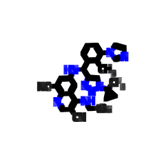 Cc1c([C@H](Nc2cc(C#N)c3ncc(C#N)c(NCC(C)(C)C)c3c2)c2cn(C3(C(F)(F)F)CC3)nn2)cccc1-n1ccnc1